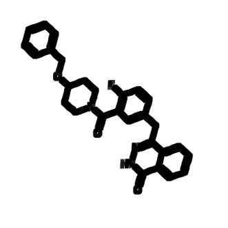 O=C(c1cc(Cc2n[nH]c(=O)c3ccccc23)ccc1F)N1CCC(OCc2ccccc2)CC1